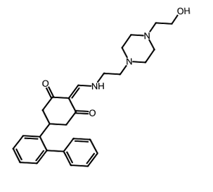 O=C1CC(c2ccccc2-c2ccccc2)CC(=O)C1=CNCCN1CCN(CCO)CC1